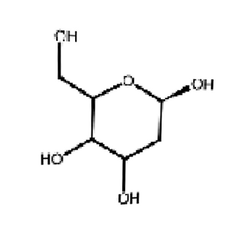 OCC1O[C@@H](O)CC(O)C1O